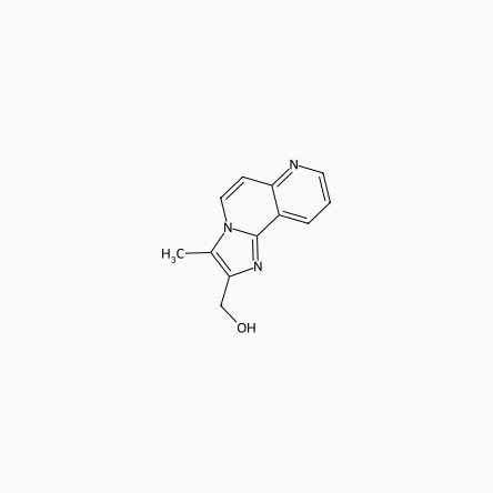 Cc1c(CO)nc2c3cccnc3ccn12